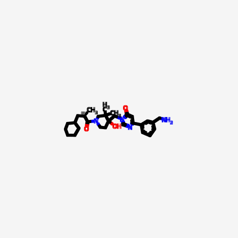 C[C@H](CC1CCCCC1)C(=O)N1CCC(O)(Cn2cnc(-c3cccc(CN)c3)cc2=O)C(C)(C)C1